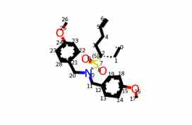 [CH2]C[C@@H](CCC=C)S(=O)(=O)N(Cc1ccc(OC)cc1)Cc1ccc(OC)cc1